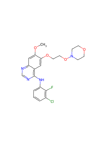 COc1cc2ncnc(Nc3cccc(Cl)c3F)c2cc1OCCON1CCOCC1